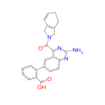 Nc1nc(C(=O)N2CC3=C(CCC=C3)C2)c2cc(-c3ccccc3C(=O)O)ccc2n1